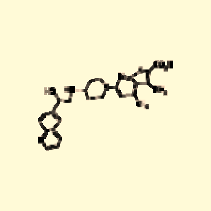 Nc1c(C(=O)O)sc2nc(N3CCC(NCC(O)c4ccc5ncccc5c4)CC3)cc(C(F)(F)F)c12